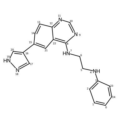 c1ccc(NCCNc2ncnc3ccc(-c4cn[nH]c4)cc23)cc1